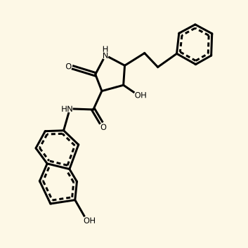 O=C(Nc1ccc2ccc(O)cc2c1)C1C(=O)NC(CCc2ccccc2)C1O